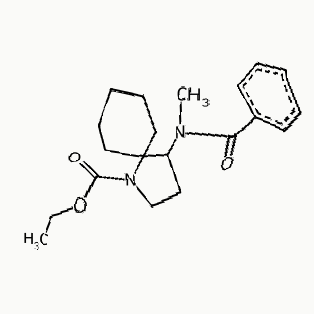 CCOC(=O)N1CCC(N(C)C(=O)c2ccccc2)C12CCCCC2